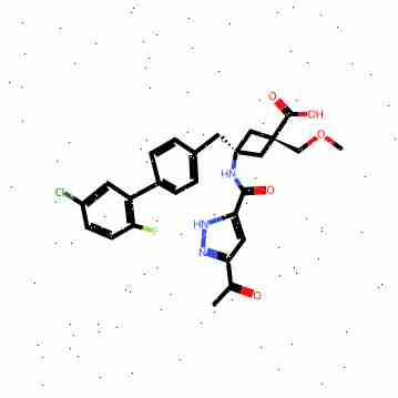 COC[C@]1(C(=O)O)C[C@](Cc2ccc(-c3cc(Cl)ccc3F)cc2)(NC(=O)c2cc(C(C)=O)n[nH]2)C1